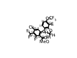 [2H]C([2H])([2H])Oc1c(Oc2cc(Cl)c(C(F)F)c(F)c2C(=O)OC)ccc(OC(F)(F)F)c1F